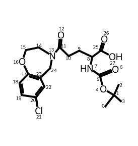 CC(C)(C)OC(=O)NC(CCC(=O)N1CCOc2ccc(Cl)cc2C1)C(=O)O